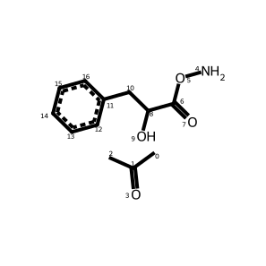 CC(C)=O.NOC(=O)C(O)Cc1ccccc1